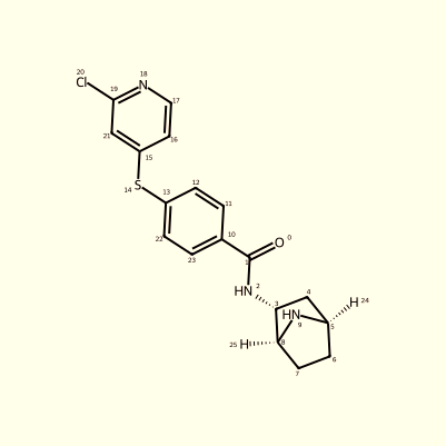 O=C(N[C@@H]1C[C@H]2CC[C@@H]1N2)c1ccc(Sc2ccnc(Cl)c2)cc1